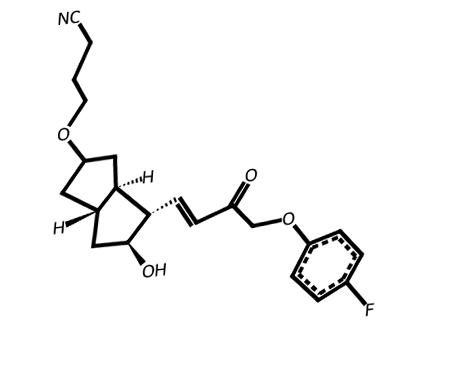 N#CCCCOC1C[C@H]2C[C@H](O)[C@@H](C=CC(=O)COc3ccc(F)cc3)[C@@H]2C1